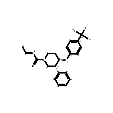 CCOC(=O)N1CC[C@@H](Oc2ccc(C(F)(F)F)cc2)[C@H](c2ccccc2)C1